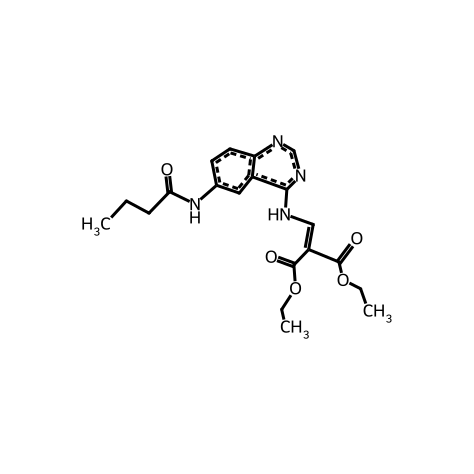 CCCC(=O)Nc1ccc2ncnc(NC=C(C(=O)OCC)C(=O)OCC)c2c1